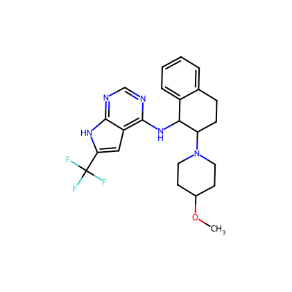 COC1CCN(C2CCc3ccccc3C2Nc2ncnc3[nH]c(C(F)(F)F)cc23)CC1